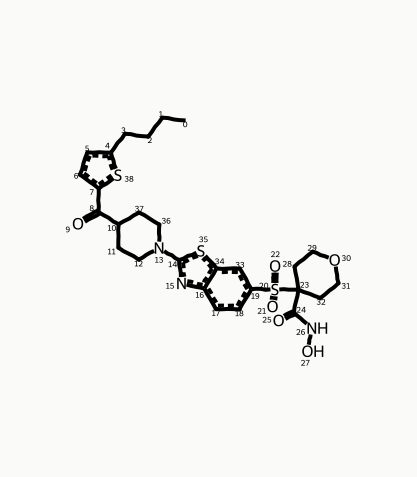 CCCCc1ccc(C(=O)C2CCN(c3nc4ccc(S(=O)(=O)C5(C(=O)NO)CCOCC5)cc4s3)CC2)s1